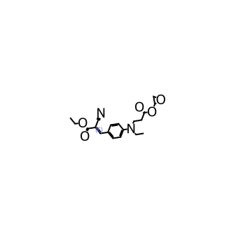 CCOC(=O)/C(C#N)=C/c1ccc(N(CC)CCC(=O)OC2CO2)cc1